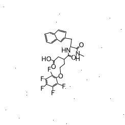 CNC(=O)C(Cc1ccc2ccccc2c1)NC(=O)C(CCOc1c(F)c(F)c(F)c(F)c1F)CC(=O)O